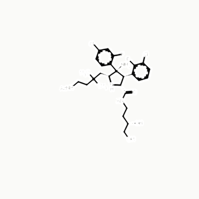 CC(=O)NCCC(C)(C)C[C@@H]1N[C@@H](C(=O)NCC[C@H](O)CO)[C@H](c2cccc(Cl)c2F)[C@@]1(N)c1ccc(Cl)cc1F